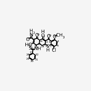 COc1ccc(Cl)c2c1C(=O)C1=C(O)C3C(=O)C(C(N)=O)=C(O)C(NC(=S)c4ccccc4)C3CC1[SH]2